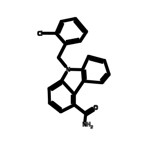 NC(=O)c1cccc2c1c1[c]cccc1n2Cc1ccccc1Cl